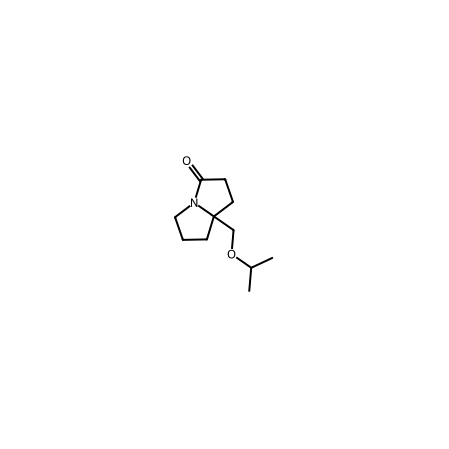 CC(C)OCC12CCCN1C(=O)CC2